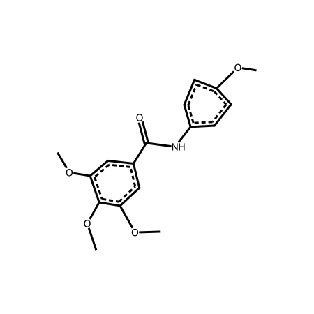 COc1ccc(NC(=O)c2cc(OC)c(OC)c(OC)c2)cc1